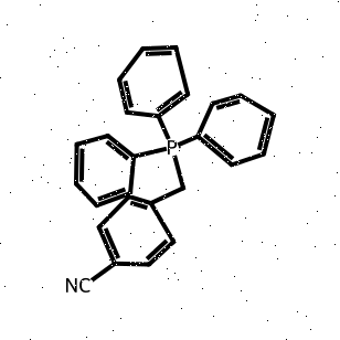 N#Cc1ccc(C[P](c2ccccc2)(c2ccccc2)c2ccccc2)cc1